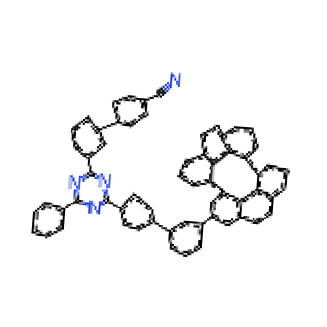 N#Cc1ccc(-c2cccc(-c3nc(-c4ccccc4)nc(-c4ccc(-c5cccc(-c6cc7ccc8cccc9c%10cccc%11ccc%12cccc(c(c6)c7c89)c%12c%11%10)c5)cc4)n3)c2)cc1